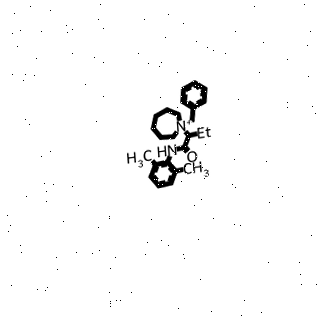 CCC(C(=O)Nc1c(C)cccc1C)[N+]1(Cc2ccccc2)CCCCCC1